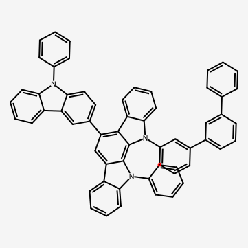 c1ccc(-c2cccc(-c3cccc(-n4c5ccccc5c5c(-c6ccc7c(c6)c6ccccc6n7-c6ccccc6)cc6c7ccccc7n(-c7ccccc7)c6c54)c3)c2)cc1